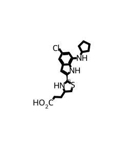 O=C(O)CCC1CS[C@H](c2cc3cc(Cl)cc(NC4CCCC4)c3[nH]2)N1